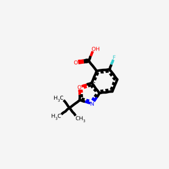 CC(C)(C)c1nc2ccc(F)c(C(=O)O)c2o1